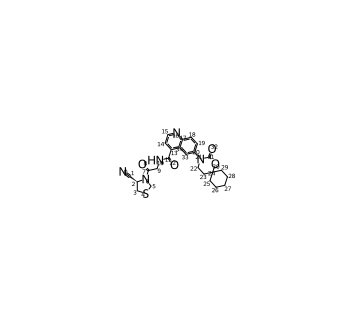 N#C[C@@H]1CSCN1C(=O)CNC(=O)c1ccnc2ccc(N3CCC4(CCCCC4)OC3=O)cc12